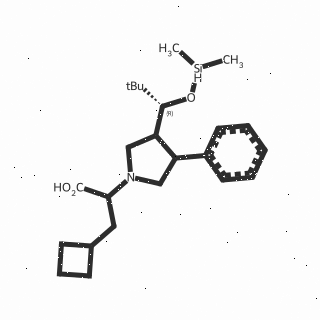 C[SiH](C)O[C@H](C1CN(C(CC2CCC2)C(=O)O)CC1c1ccccc1)C(C)(C)C